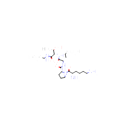 C[C@@H](O)[C@H](NC(=O)[C@H](CCC(=O)O)NC(=O)[C@@H]1CCCN1C(=O)[C@@H](N)CCCCN)C(=O)NCC(=O)O